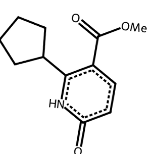 COC(=O)c1ccc(=O)[nH]c1C1CCCC1